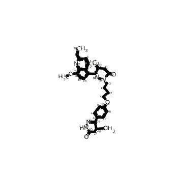 CCc1ccc2c(C3=NN(CCCCOc4ccc(C5=NNC(=O)CC5C)cc4)C(=O)CC3C)ccc(OC)c2n1